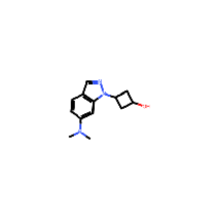 CN(C)c1ccc2cnn(C3CC(O)C3)c2c1